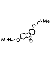 CNCCOc1ccc2c(c1)c1ccc(OCCNC)cc1[s+]2[O-]